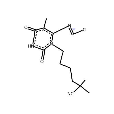 Cc1c(/N=C/Cl)n(CCCCC(C)(C)C#N)c(=O)[nH]c1=O